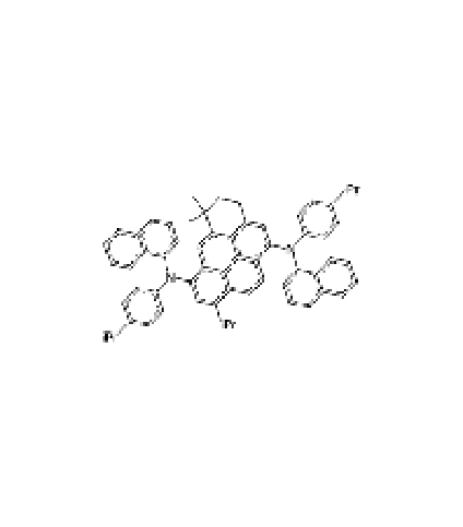 CC(C)c1ccc(N(c2cccc3ccccc23)c2cc(C(C)C)c3ccc4c(N(c5ccc(C(C)C)cc5)c5cccc6ccccc56)cc5c6c(cc2c3c46)C(C)(C)CC5)cc1